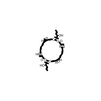 C/C=C/[C@H](O)C(C)(C)[C@@H]1C/C=C\[C@H]2O[C@H]2/C=C/C=C\c2nc(cs2)C(=O)O[C@H](C(C)(C)[C@@H](O)/C=C/C)C/C=C\[C@H]2C[C@H]2/C=C/C=C\c2nc(c[nH]2)C(=O)O1